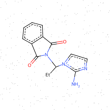 CCC(N1C(=O)c2ccccc2C1=O)n1ccnc1N